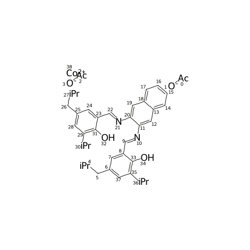 CC(=O)[O-].CC(=O)[O-].CC(C)Cc1cc(C=Nc2cc3ccccc3cc2N=Cc2cc(CC(C)C)cc(C(C)C)c2O)c(O)c(C(C)C)c1.[Co+2]